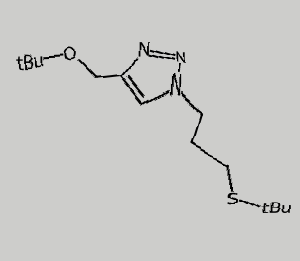 CC(C)(C)OCc1cn(CCCSC(C)(C)C)nn1